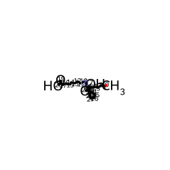 CCCCCC[C@@](O)(C/C=C\CCCCCCCC(=O)O)C(=O)c1ccccc1